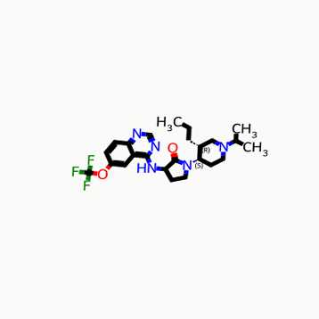 CCC[C@@H]1CN(C(C)C)CC[C@@H]1N1CCC(Nc2ncnc3ccc(OC(F)(F)F)cc23)C1=O